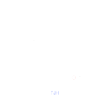 CC(C)Cc1ccc2c(c1)CCNC2=O